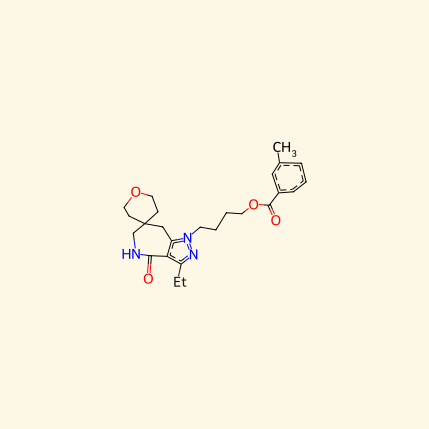 CCc1nn(CCCCOC(=O)c2cccc(C)c2)c2c1C(=O)NCC1(CCOCC1)C2